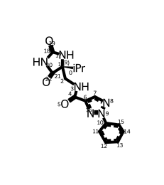 CC(C)[C@]1(CNC(=O)c2cnn(-c3ccccc3)n2)NC(=O)NC1=O